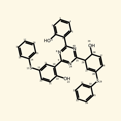 Oc1ccccc1-c1nc(-c2cc(Sc3ccccc3)ccc2O)nc(C2C=C(Sc3ccccc3)C=CC2O)n1